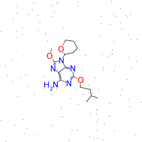 COc1nc2c(N)nc(OCCC(C)C)nc2n1C1CCCCO1